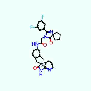 O=C(CN1C(=O)C2(CCCC2)N=C1c1cc(F)cc(F)c1)Nc1ccc2c(c1)C[C@@]1(C2)C(=O)Nc2ncccc21